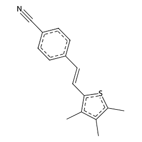 Cc1sc(/C=C/c2ccc(C#N)cc2)c(C)c1C